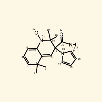 CC1(C)C=CC=C2C1=CC(C(N)=O)(n1cccc1)C(C)(C)N2[O]